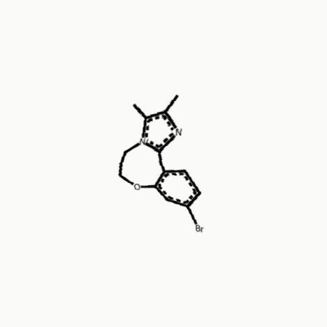 Cc1nc2n(c1C)CCOc1cc(Br)ccc1-2